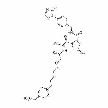 Cc1ncsc1-c1ccc(CNC(=O)[C@@H]2C[C@@H](O)CN2C(=O)[C@@H](NC(=O)COCCOCCN2CCN(CC(=O)O)CC2)C(C)(C)C)cc1